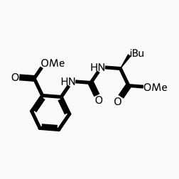 CCC(C)[C@H](NC(=O)Nc1ccccc1C(=O)OC)C(=O)OC